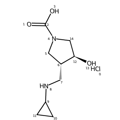 Cl.O=C(O)N1C[C@@H](CNC2CC2)[C@H](O)C1